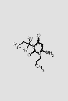 [2H]C([2H])(CC)n1c(=O)cc(N)n(CCC)c1=O